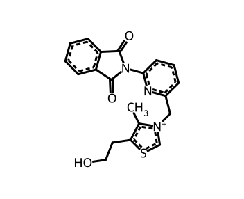 Cc1c(CCO)sc[n+]1Cc1cccc(N2C(=O)c3ccccc3C2=O)n1